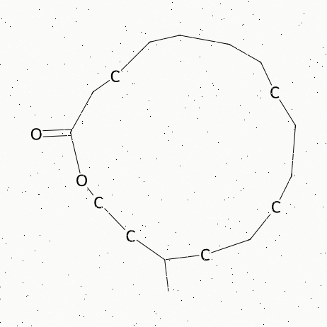 CC1CCCCCCCCCCCCC(=O)OCC1